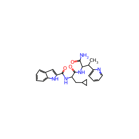 CC(c1ccccn1)C(NC(=O)C(CC1CC1)NC(=O)c1cc2ccccc2[nH]1)C(N)=O